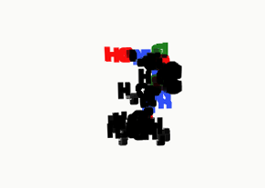 Cc1cc(C(=O)Nc2cccc(-c3cccc(-c4nc5cc(CNCCO)cc(Cl)c5o4)c3C)c2Cl)nc2c1CCN(CCO[Si](C)(C)C(C)(C)C)C2